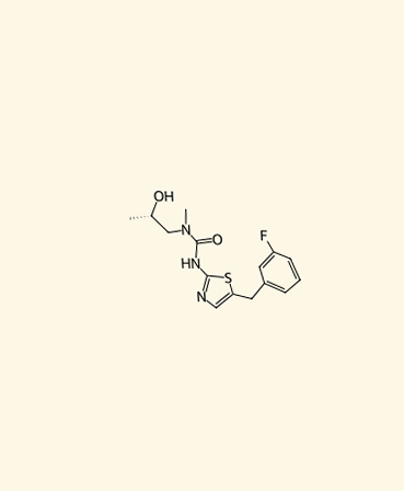 C[C@H](O)CN(C)C(=O)Nc1ncc(Cc2cccc(F)c2)s1